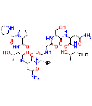 CC(C)[C@H](NC(=O)[C@H](CC(N)=O)NC(=O)[C@@H](NC(=O)[C@@H]1CCCN1C(=O)[C@@H]1CCCN1)[C@@H](C)O)C(=O)NCC(=O)N[C@@H](CO)C(=O)N[C@@H](CC(N)=O)C(=O)N[C@H]([C]=O)[C@@H](C)O